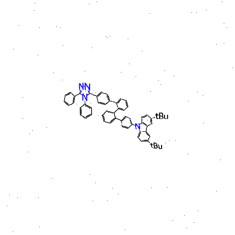 CC(C)(C)c1ccc2c(c1)c1cc(C(C)(C)C)ccc1n2-c1ccc(-c2ccccc2-c2ccccc2-c2ccc(-c3nnc(-c4ccccc4)n3-c3ccccc3)cc2)cc1